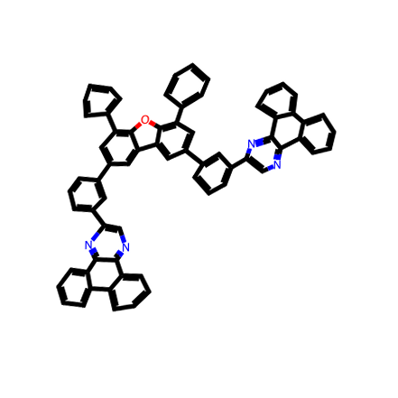 c1ccc(-c2cc(-c3cccc(-c4cnc5c6ccccc6c6ccccc6c5n4)c3)cc3c2oc2c(-c4ccccc4)cc(-c4cccc(-c5cnc6c7ccccc7c7ccccc7c6n5)c4)cc23)cc1